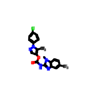 Cn1c(NC(=O)Oc2cnn(-c3ccc(Cl)cc3)c2C(F)(F)F)nc2cc(C(F)(F)F)ccc21